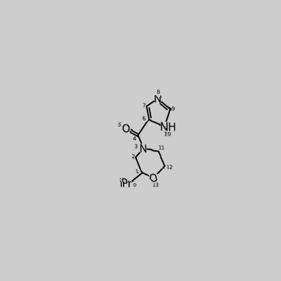 CC(C)C1CN(C(=O)c2cnc[nH]2)CCO1